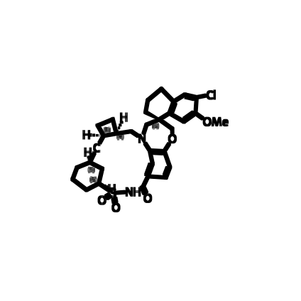 COc1cc2c(cc1Cl)CCC[C@]21COc2ccc3cc2N(C[C@@H]2CC[C@@H]2C[C@@H]2CCC[C@@H](C2)S(=O)(=O)NC3=O)C1